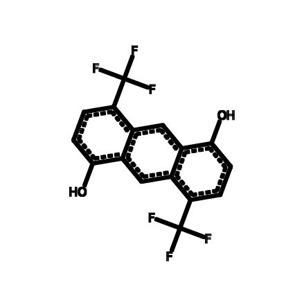 Oc1ccc(C(F)(F)F)c2cc3c(O)ccc(C(F)(F)F)c3cc12